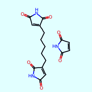 O=C1C=C(CCCCCC2=CC(=O)NC2=O)C(=O)N1.O=C1C=CC(=O)N1